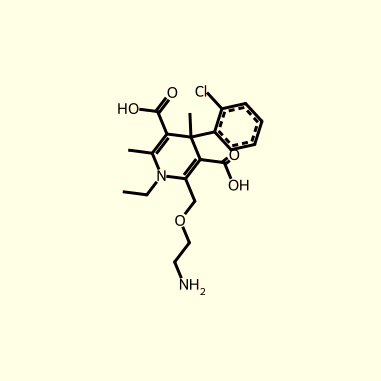 CCN1C(C)=C(C(=O)O)C(C)(c2ccccc2Cl)C(C(=O)O)=C1COCCN